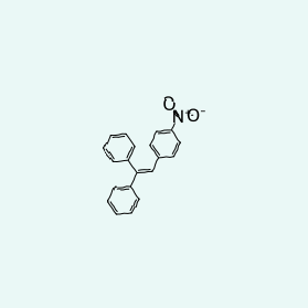 O=[N+]([O-])c1ccc(C=C(c2ccccc2)c2ccccc2)cc1